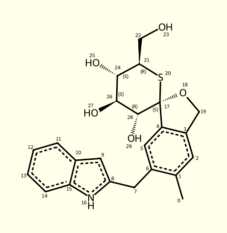 Cc1cc2c(cc1Cc1cc3ccccc3[nH]1)[C@]1(OC2)S[C@H](CO)[C@@H](O)[C@H](O)[C@H]1O